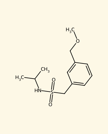 COCc1cccc(CS(=O)(=O)NC(C)C)c1